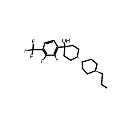 CCC[C@H]1CC[C@H](C2CCC(O)(c3ccc(C(F)(F)F)c(F)c3F)CC2)CC1